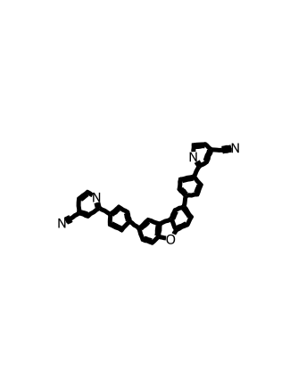 N#Cc1ccnc(-c2ccc(-c3ccc4oc5ccc(-c6ccc(-c7cc(C#N)ccn7)cc6)cc5c4c3)cc2)c1